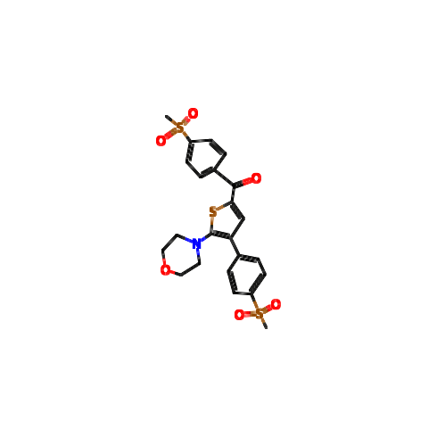 CS(=O)(=O)c1ccc(C(=O)c2cc(-c3ccc(S(C)(=O)=O)cc3)c(N3CCOCC3)s2)cc1